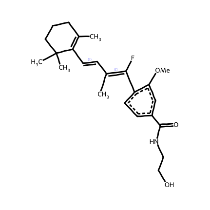 COc1cc(C(=O)NCCO)ccc1/C(F)=C(C)/C=C/C1=C(C)CCCC1(C)C